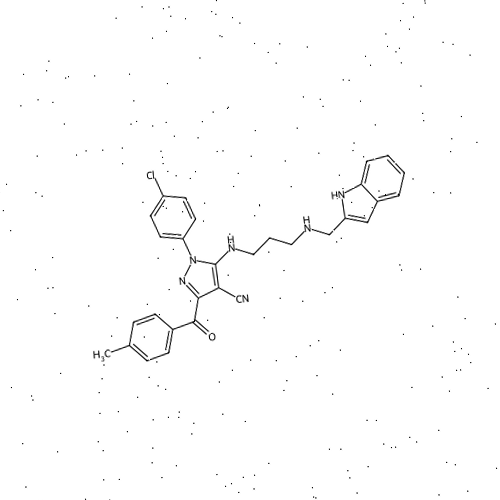 Cc1ccc(C(=O)c2nn(-c3ccc(Cl)cc3)c(NCCCNCc3cc4ccccc4[nH]3)c2C#N)cc1